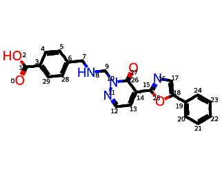 O=C(O)c1ccc(CNCn2nccc(-c3ncc(-c4ccccc4)o3)c2=O)cc1